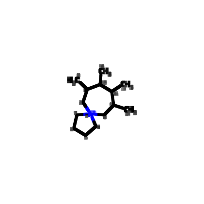 CC1C[N+]2(CCCC2)CC(C)C(C)C1C